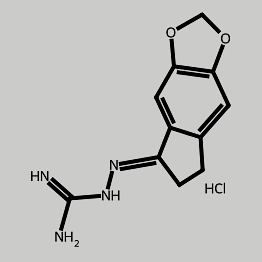 Cl.N=C(N)NN=C1CCc2cc3c(cc21)OCO3